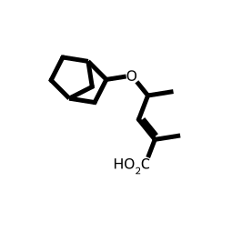 CC(=CC(C)OC1CC2CCC1C2)C(=O)O